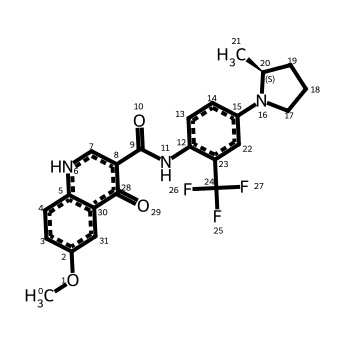 COc1ccc2[nH]cc(C(=O)Nc3ccc(N4CCC[C@@H]4C)cc3C(F)(F)F)c(=O)c2c1